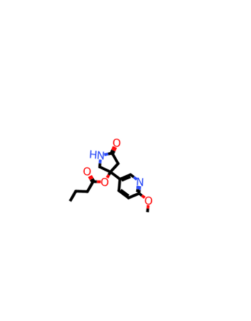 CCCC(=O)OC1(c2ccc(OC)nc2)CNC(=O)C1